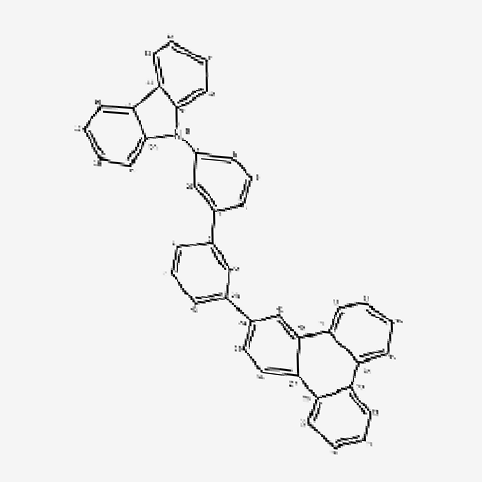 c1cc(-c2cccc(-n3c4ccccc4c4ccccc43)c2)cc(-c2ccc3c4ccccc4c4ccccc4c3c2)c1